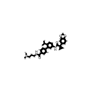 CC(C)c1ccc(NC(=O)C2(c3ccc4c(c3)OCO4)CC2)cc1-c1ccc(C(=O)NCCCN(C)C)cc1